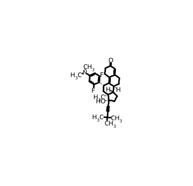 CN(C)c1cc(F)c([C@H]2C[C@@]3(C)[C@@H](CC[C@@]3(O)C#CC(C)(C)C)[C@@H]3CCC4=CC(=O)CCC4=C32)c(F)c1